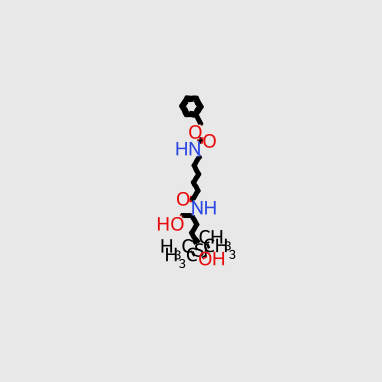 CC(C)(CCC(CO)NC(=O)CCCCCNC(=O)OCc1ccccc1)[Si](C)(C)O